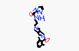 Cc1cccc(C)c1C(=O)N1CC2CN(CCCNC(=O)c3ncccn3)CC2C1